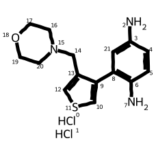 Cl.Cl.Nc1ccc(N)c(-c2cscc2CN2CCOCC2)c1